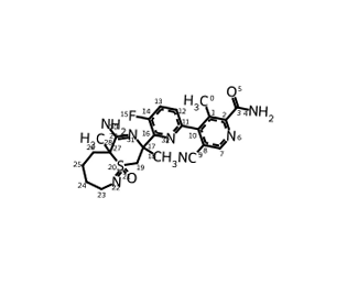 Cc1c(C(N)=O)ncc(C#N)c1-c1ccc(F)c(C2(C)CS3(=O)=NCCCCC3(C)C(N)=N2)n1